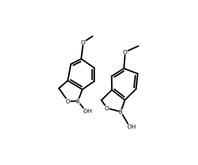 COc1ccc2c(c1)COB2O.COc1ccc2c(c1)COB2O